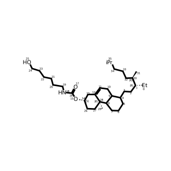 CC[C@H](CCC1CCCC2C1CC=C1C[C@@H](OC(=O)NCCCCCCO)CC[C@@]12C)[C@H](C)CCCC(C)C